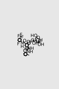 Cc1cccc(Cl)c1Nc1nc2cc(C(=O)Nc3cc(C(F)(F)F)ccc3F)c3c(c2[nH]1)CC(C)(C)O3.O=C(O)CC(O)(CC(=O)O)C(=O)O